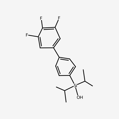 CC(C)[Si](O)(c1ccc(-c2cc(F)c(F)c(F)c2)cc1)C(C)C